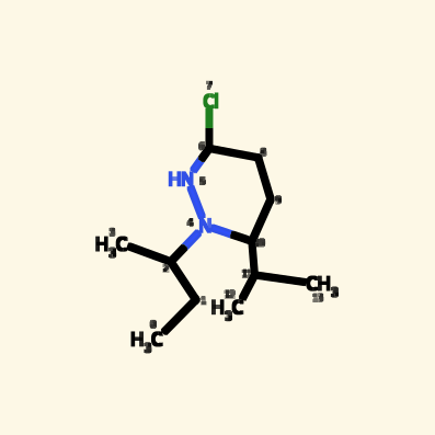 CCC(C)N1NC(Cl)CCC1C(C)C